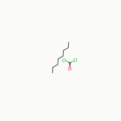 CCCCCCCC.O=C(Cl)Cl